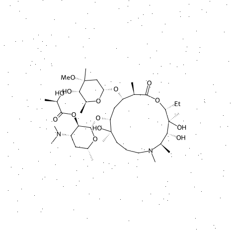 CC[C@H]1OC(=O)[C@H](C)[C@@H](O[C@H]2C[C@@](C)(OC)[C@@H](O)[C@H](C)O2)C[C@@H](O[C@@H]2O[C@H](C)C[C@H](N(C)C)[C@H]2OC(=O)[C@@H](C)O)[C@](C)(O)CCCN(C)[C@H](C)[C@@H](O)[C@]1(C)O